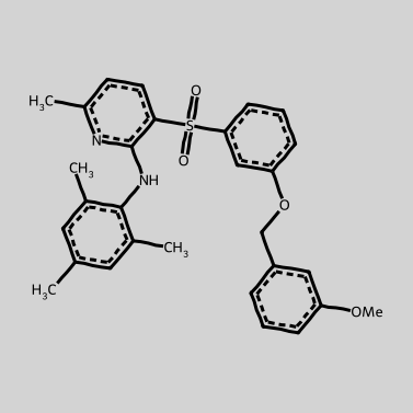 COc1cccc(COc2cccc(S(=O)(=O)c3ccc(C)nc3Nc3c(C)cc(C)cc3C)c2)c1